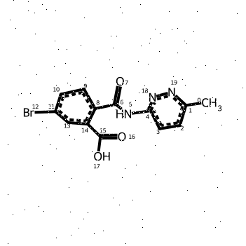 Cc1ccc(NC(=O)c2ccc(Br)cc2C(=O)O)nn1